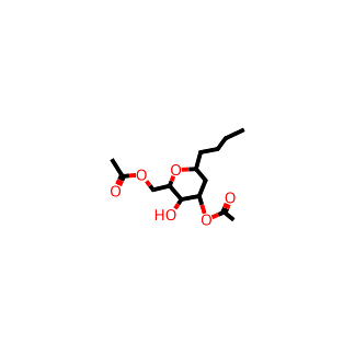 CCCCC1CC(OC(C)=O)C(O)C(COC(C)=O)O1